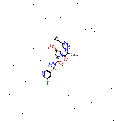 C[C@@H](NC(=O)[C@@H]1C[C@@H](O)CN1C(=O)[C@@H](n1cc(C2CC2)nn1)C(C)(C)C)c1cncc(F)c1